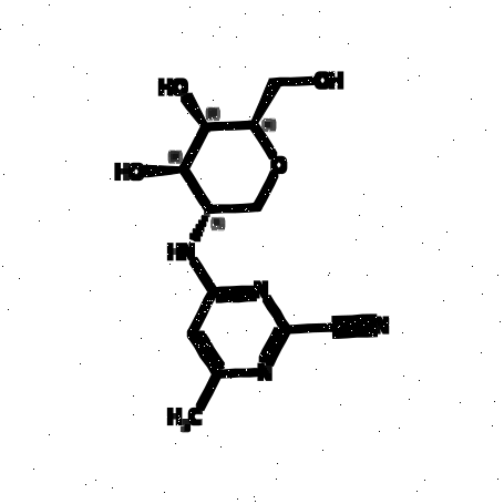 Cc1cc(N[C@H]2CO[C@H](CO)[C@H](O)[C@@H]2O)nc(C#N)n1